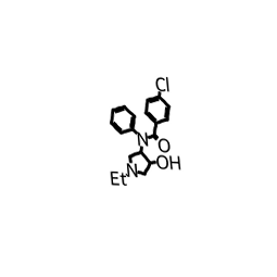 CCN1CC(O)C(N(C(=O)c2ccc(Cl)cc2)c2ccccc2)C1